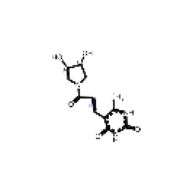 Cc1[nH]c(=O)[nH]c(=O)c1/C=C/C(=O)N1C[C@@H](O)[C@@H](O)C1